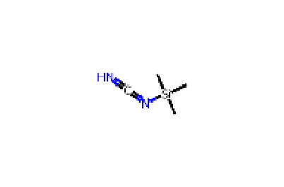 C[Si](C)(C)N=C=N